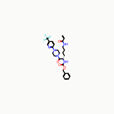 C=CC(=O)NCCCC[C@H](NC(=O)OCc1ccccc1)C(=O)N1CCN(c2ccc(C(F)(F)F)cn2)CC1